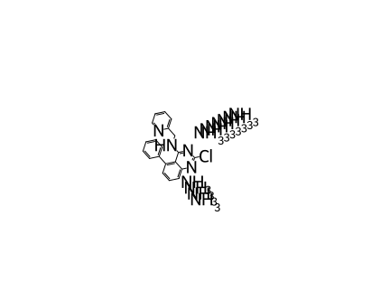 Clc1nc(NCc2ccccn2)c2c(-c3ccccc3)cccc2n1.N.N.N.N.N.N.N.N.N.N.N